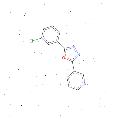 Clc1cccc(-c2nnc(-c3cccnc3)o2)c1